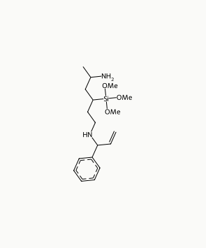 C=CC(NCCC(CC(C)N)[Si](OC)(OC)OC)c1ccccc1